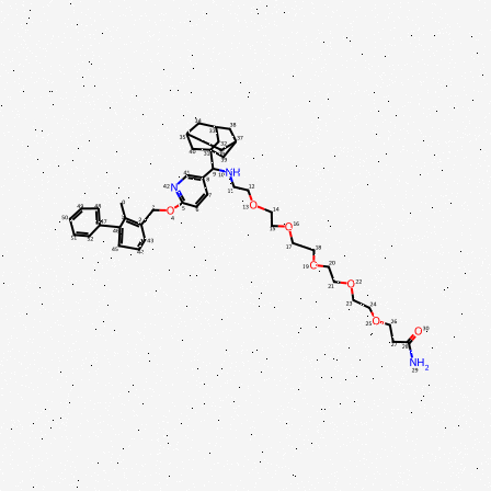 Cc1c(COc2ccc(C(NCCOCCOCCOCCOCCOCCC(N)=O)C34CC5CC(CC(C5)C3)C4)cn2)cccc1-c1ccccc1